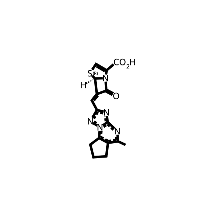 Cc1nc2nc(C=C3C(=O)N4C(C(=O)O)=CS[C@H]34)nn2c2c1CCC2